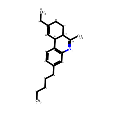 CCCCCc1ccc2c(c1)N=C(C)C1CCC(CC)=CC21